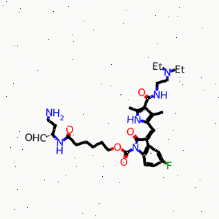 CCN(CC)CCNC(=O)c1c(C)[nH]c(/C=C2\C(=O)N(C(=O)OCCCCCC(=O)N[C@H](C=O)CCN)c3ccc(F)cc32)c1C